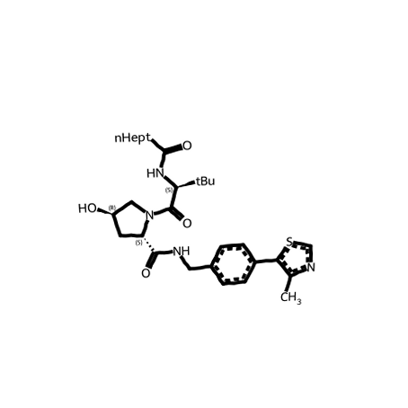 CCCCCCCC(=O)N[C@H](C(=O)N1C[C@H](O)C[C@H]1C(=O)NCc1ccc(-c2scnc2C)cc1)C(C)(C)C